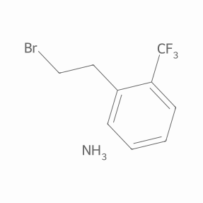 FC(F)(F)c1ccccc1CCBr.N